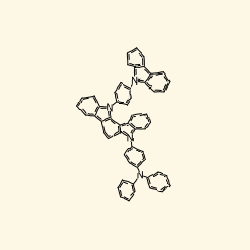 c1ccc(N(c2ccccc2)c2ccc(-n3c4ccccc4c4c3ccc3c5ccccc5n(-c5ccc(-n6c7ccccc7c7ccccc76)cc5)c34)cc2)cc1